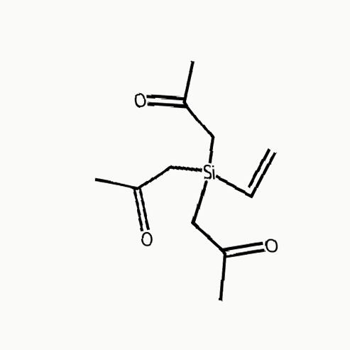 C=C[Si](CC(C)=O)(CC(C)=O)CC(C)=O